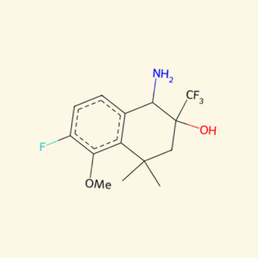 COc1c(F)ccc2c1C(C)(C)CC(O)(C(F)(F)F)C2N